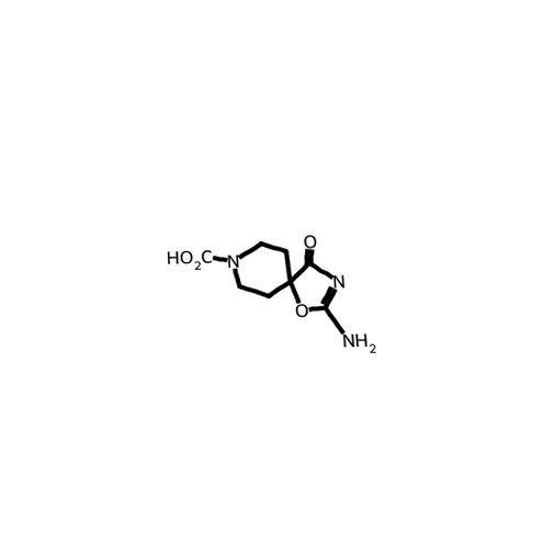 NC1=NC(=O)C2(CCN(C(=O)O)CC2)O1